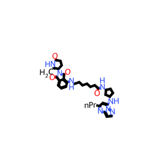 C=C1NC(=O)CCC1N1C(=O)c2cccc(NCCCCCCC(=O)N[C@@H]3CC[C@@H](Nc4cc(CCC)nc5ccnn45)C3)c2C1=O